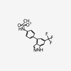 CS(=O)(=O)Nc1ccc(-c2cc(C(F)(F)F)cc3[nH]ncc23)cc1